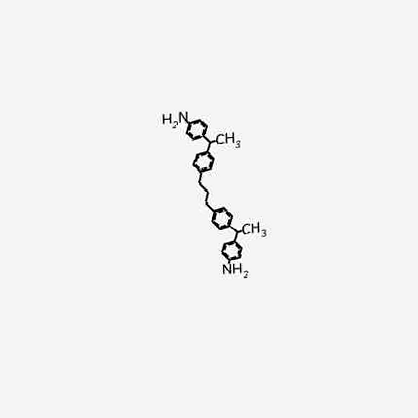 CC(c1ccc(N)cc1)c1ccc(CCCc2ccc(C(C)c3ccc(N)cc3)cc2)cc1